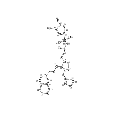 O=C(C=Cc1csc(Cn2cccn2)c1OCCc1ccc2ccccc2c1)NS(=O)(=O)c1ccc(F)c(F)c1